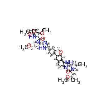 COC[C@H]1C[C@@H](c2ncc(-c3ccc4c(c3)COc3cc5c(ccc6nc([C@@H]7C[C@H](C)CN7C(=O)C[C@@H](C)OC)[nH]c65)cc3-4)[nH]2)N(C(=O)[C@@H](NC(=O)OC)[C@@H](C)OC)C1